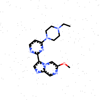 CCN1CCN(c2ccnc(-c3cnc4cnc(OC)cn34)n2)CC1